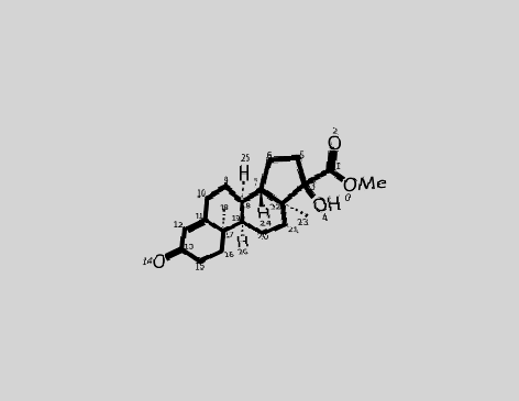 COC(=O)C1(O)CC[C@H]2[C@@H]3CCC4=CC(=O)CC[C@]4(C)[C@@H]3CC[C@@]21C